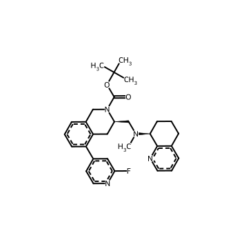 CN(C[C@H]1Cc2c(cccc2-c2ccnc(F)c2)CN1C(=O)OC(C)(C)C)[C@H]1CCCc2cccnc21